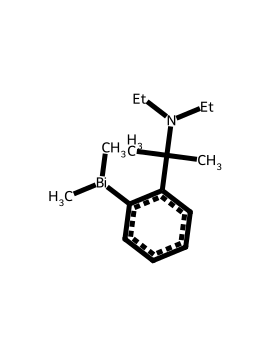 CCN(CC)C(C)(C)c1cccc[c]1[Bi]([CH3])[CH3]